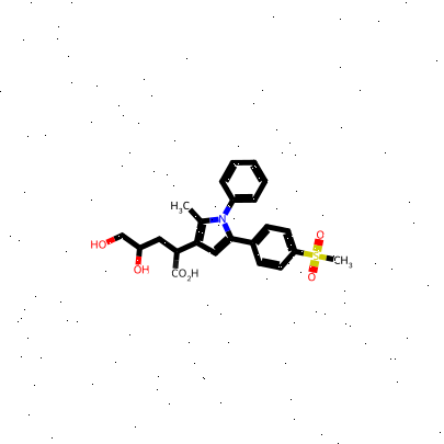 Cc1c(C(CC(O)CO)C(=O)O)cc(-c2ccc(S(C)(=O)=O)cc2)n1-c1ccccc1